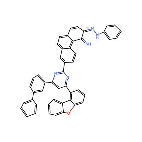 N=C1/C(=N\Nc2ccccc2)C=Cc2ccc3cc(-c4nc(-c5cccc(-c6ccccc6)c5)cc(-c5cccc6oc7ccccc7c56)n4)ccc3c21